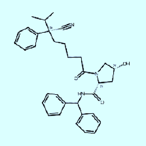 CC(C)[C@@](C#N)(CCCCC(=O)N1C[C@H](O)C[C@@H]1C(=O)NC(c1ccccc1)c1ccccc1)c1ccccc1